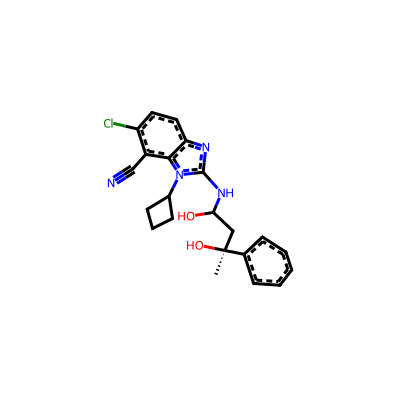 C[C@](O)(CC(O)Nc1nc2ccc(Cl)c(C#N)c2n1C1CCC1)c1ccccc1